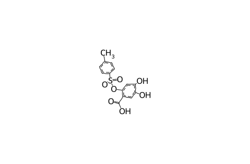 Cc1ccc(S(=O)(=O)Oc2cc(O)c(O)cc2C(=O)O)cc1